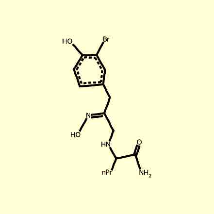 CCCC(NCC(Cc1ccc(O)c(Br)c1)=NO)C(N)=O